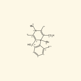 CC1=C(C(=O)O)C(c2ccccc2F)(C(C)(C)C)C(C(=O)O)=C(C)N1C(C)(C)C